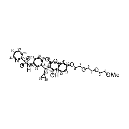 COCCOCCOCCOc1ccc2c(O)c(C(c3cccc(NS(=O)(=O)c4ccccn4)c3)C3CC3)c(=O)oc2c1